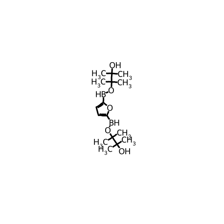 CC(C)(O)C(C)(C)OBc1ccc(BOC(C)(C)C(C)(C)O)o1